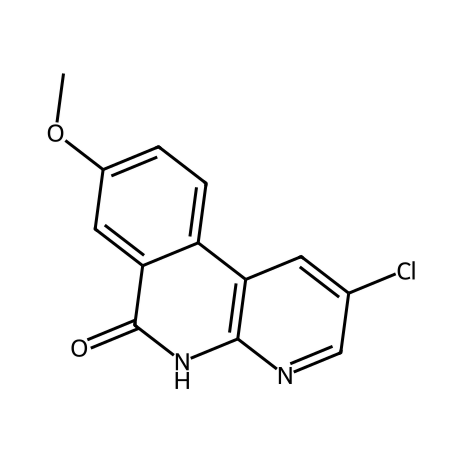 COc1ccc2c(c1)c(=O)[nH]c1ncc(Cl)cc12